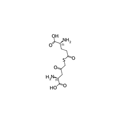 N[C@@H](CCC(=O)SCC(=O)C[C@H](N)C(=O)O)C(=O)O